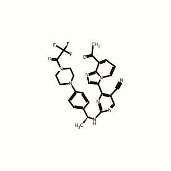 CC(=O)c1cccn2c(-c3nc(N[C@@H](C)c4ccc(N5CCN(C(=O)C(F)(F)F)CC5)cc4)ncc3C#N)cnc12